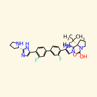 CC(C)(C)[C@]1(c2ncc(-c3ccc(-c4ccc(-c5cnc([C@@H]6CCCN6)[nH]5)c(F)c4)cc3F)[nH]2)CCCN1C(=O)O